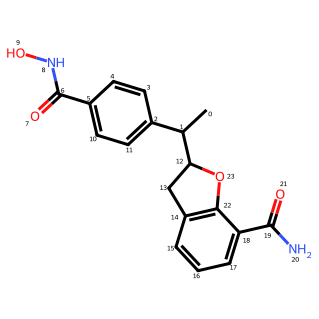 CC(c1ccc(C(=O)NO)cc1)C1Cc2cccc(C(N)=O)c2O1